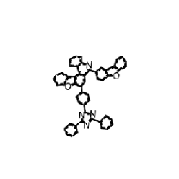 c1ccc(-c2nc(-c3ccccc3)nc(-c3ccc(-c4cc5c(-c6ccc7oc8ccccc8c7c6)nc6ccccc6c5c5c4oc4ccccc45)cc3)n2)cc1